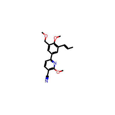 CC=Cc1cc(-c2ccc(C#N)c(OC)n2)cc(COC)c1OC